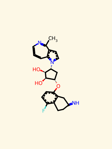 CC1=NC=C=Cc2c1ccn2[C@@H]1C[C@H](Oc2ccc(F)c3c2CC(=N)CC3)[C@@H](O)[C@H]1O